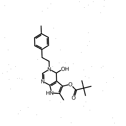 Cc1ccc(CCN2C=Nc3[nH]c(C)c(OC(=O)C(C)(C)C)c3C2O)cc1